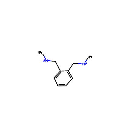 CC(C)NCc1ccccc1CNC(C)C